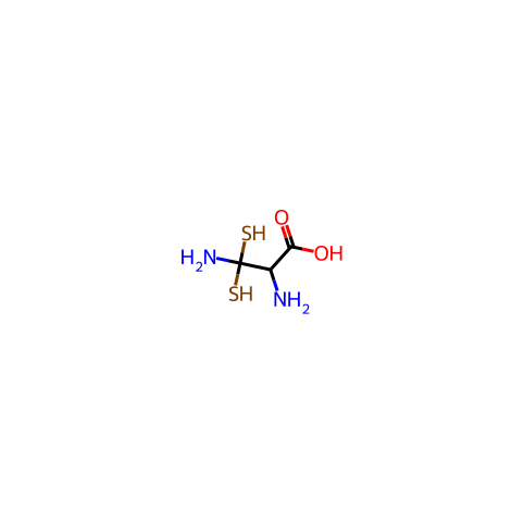 NC(C(=O)O)C(N)(S)S